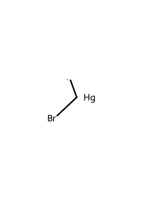 [CH2]CBr.[Hg]